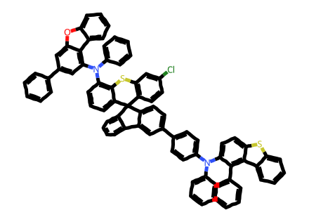 Clc1ccc2c(c1)Sc1c(N(c3ccccc3)c3cc(-c4ccccc4)cc4oc5ccccc5c34)cccc1C21c2ccccc2-c2cc(-c3ccc(N(c4ccccc4)c4ccc5sc6ccccc6c5c4-c4ccccc4)cc3)ccc21